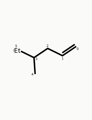 C=CCC(C)[C]C